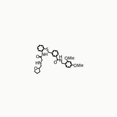 COc1ccc(CNC(=O)c2cccc(CSc3ccccc3NC(=O)CNCC3CCCO3)c2)c(OC)c1